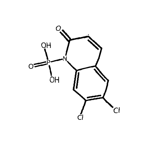 O=c1[c]cc2cc(Cl)c(Cl)cc2n1P(=O)(O)O